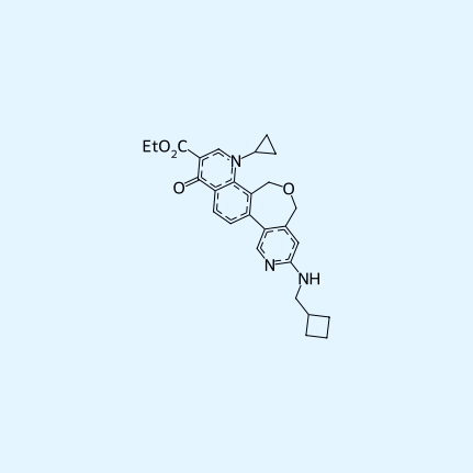 CCOC(=O)c1cn(C2CC2)c2c3c(ccc2c1=O)-c1cnc(NCC2CCC2)cc1COC3